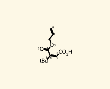 C=CCOC(=O)C(=CC(=O)O)C(C)(C)C